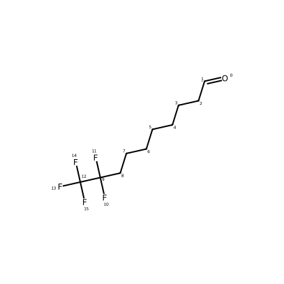 O=[C]CCCCCCCC(F)(F)C(F)(F)F